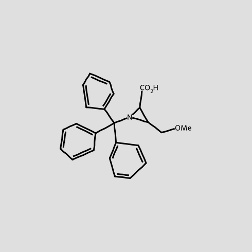 COCC1C(C(=O)O)N1C(c1ccccc1)(c1ccccc1)c1ccccc1